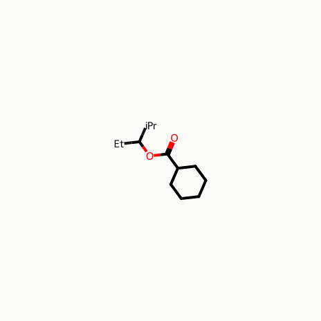 CCC(OC(=O)C1CCCCC1)C(C)C